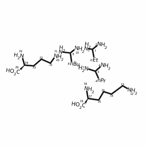 CCC(N)N.CCCC(N)N.CCCCC(N)N.NCCCC[C@H](N)C(=O)O.NCCC[C@H](N)C(=O)O